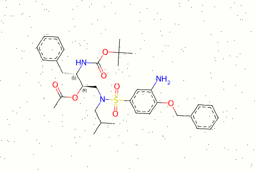 CC(=O)O[C@H](CN(CC(C)C)S(=O)(=O)c1ccc(OCc2ccccc2)c(N)c1)[C@H](Cc1ccccc1)NC(=O)OC(C)(C)C